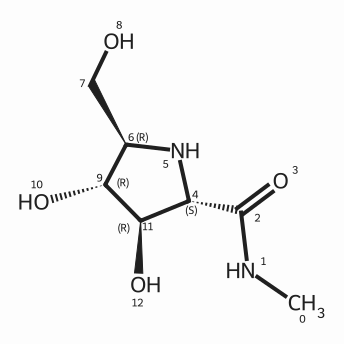 CNC(=O)[C@H]1N[C@H](CO)[C@@H](O)[C@@H]1O